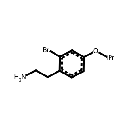 CC(C)Oc1ccc(CCN)c(Br)c1